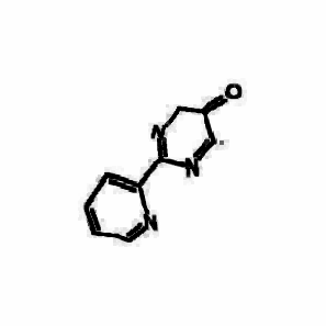 O=C1[C]=NC(c2ccccn2)=NC1